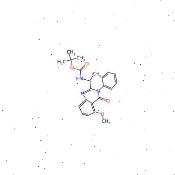 COc1cccc2nc(C(C)NC(=O)OC(C)(C)C)n(-c3ccccc3)c(=O)c12